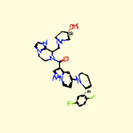 O=C(c1cnn2ccc(N3CCC[C@@H]3c3cc(F)ccc3F)cc12)N1CCn2ccnc2C1CN1CC[C@H](O)C1